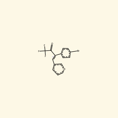 O=C(/C(=C/c1cccnc1)c1ccc(Br)cc1)C(F)(F)F